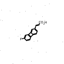 O=C(O)/C=C/c1ccc2c(c1)-c1cc(F)ccc1-2